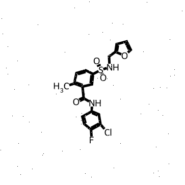 Cc1ccc(S(=O)(=O)NCc2ccco2)cc1C(=O)Nc1ccc(F)c(Cl)c1